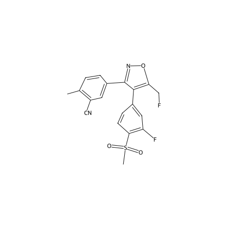 Cc1ccc(-c2noc(CF)c2-c2ccc(S(C)(=O)=O)c(F)c2)cc1C#N